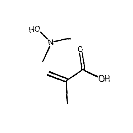 C=C(C)C(=O)O.CN(C)O